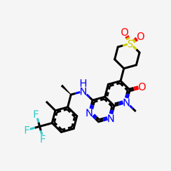 Cc1c([C@@H](C)Nc2ncnc3c2cc(C2CCS(=O)(=O)CC2)c(=O)n3C)cccc1C(F)(F)F